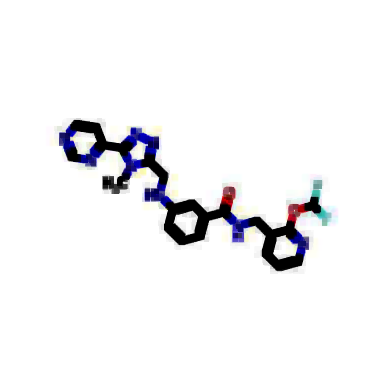 Cn1c(CNc2cccc(C(=O)NCc3cccnc3OC(F)F)c2)nnc1-c1ccncn1